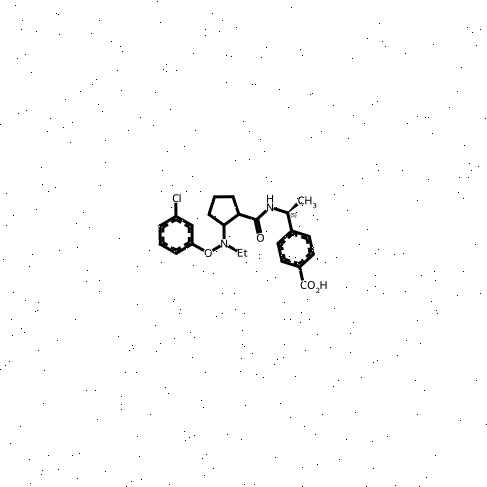 CCN(Oc1cccc(Cl)c1)C1CCCC1C(=O)N[C@@H](C)c1ccc(C(=O)O)cc1